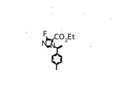 C=C(c1ccc(C)cc1)n1cnc(F)c1C(=O)OCC